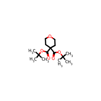 CC(C)(C)OC(=O)C1(C(=O)OC(C)(C)C)CCOCC1